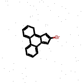 BrC1=Cc2c3c(c4ccccc4c2=C1)=CC=CC3